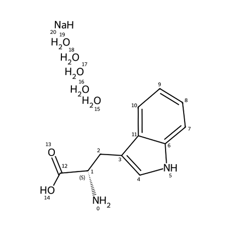 N[C@@H](Cc1c[nH]c2ccccc12)C(=O)O.O.O.O.O.O.[NaH]